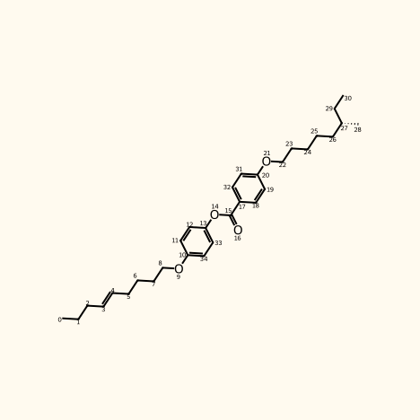 CCCC=CCCCCOc1ccc(OC(=O)c2ccc(OCCCCC[C@@H](C)CC)cc2)cc1